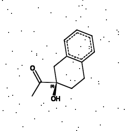 CC(=O)[C@@]1(O)CCc2ccccc2C1